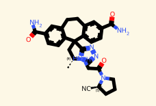 C[C@H](CC1(c2nnc[nH]2)c2ccc(C(N)=O)cc2CCc2cc(C(N)=O)ccc21)NCC(=O)N1CCC[C@H]1C#N